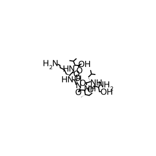 CC[C@H](C)[C@H](NC(=O)[C@H](CC(C)C)NC(=O)[C@@H](N)CO)C(=O)NCC(=O)N[C@@H](CCCCN)C(=O)N[C@H](C(=O)O)C(C)C